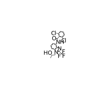 CC(O)Cn1c(C(F)(F)F)nc2c(NC(=O)c3c(Cl)cccc3Cl)cccc21